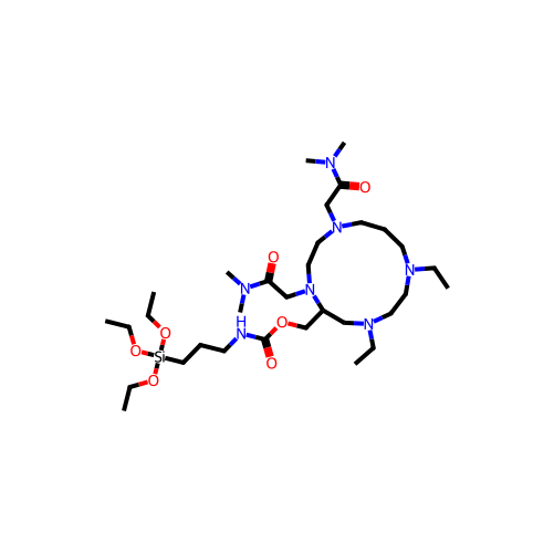 CCO[Si](CCCNC(=O)OCC1CN(CC)CCN(CC)CCCN(CC(=O)N(C)C)CCN1CC(=O)N(C)C)(OCC)OCC